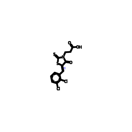 O=C(O)CCN1C(=O)/C(=C/c2cccc(Cl)c2Cl)SC1=S